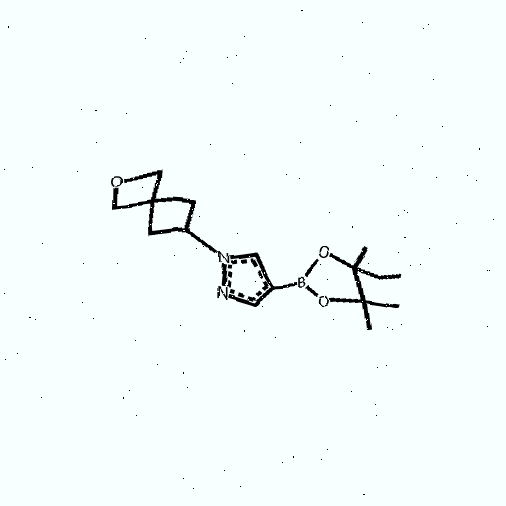 CC1(C)OB(c2cnn(C3CC4(COC4)C3)c2)OC1(C)C